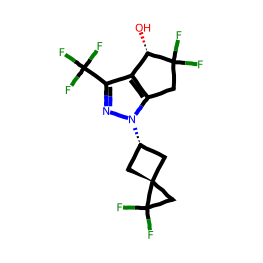 O[C@H]1c2c(C(F)(F)F)nn([C@H]3C[C@]4(CC4(F)F)C3)c2CC1(F)F